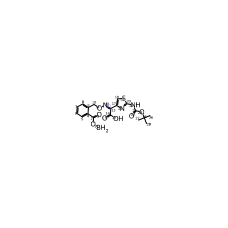 BOC(=O)c1ccccc1CO/N=C(\C(=O)O)c1csc(NC(=O)OC(C)(C)C)n1